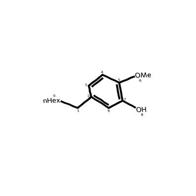 CCCCCCCc1ccc(OC)c(O)c1